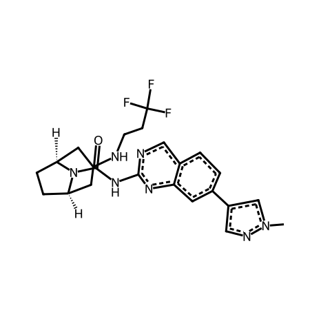 Cn1cc(-c2ccc3cnc(NC(=O)N4[C@@H]5CC[C@H]4CC(NCCC(F)(F)F)C5)nc3c2)cn1